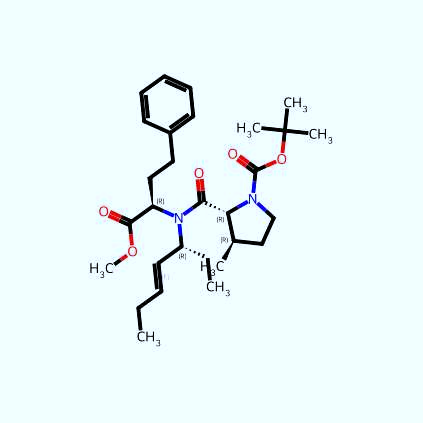 CC/C=C/[C@@H](CC)N(C(=O)[C@H]1[C@H](C)CCN1C(=O)OC(C)(C)C)[C@H](CCc1ccccc1)C(=O)OC